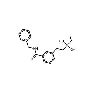 CC[Si](O)(O)CCc1cccc(C(=O)NCc2ccccc2)c1